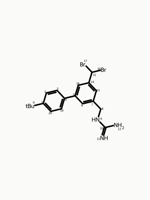 CC(C)(C)c1ccc(-c2cc(CNC(=N)N)cc(C(Br)Br)c2)cc1